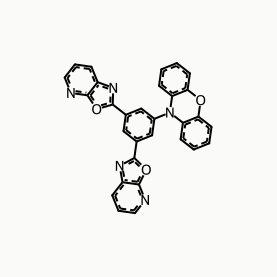 c1ccc2c(c1)Oc1ccccc1N2c1cc(-c2nc3cccnc3o2)cc(-c2nc3cccnc3o2)c1